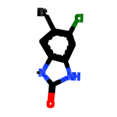 CCc1cc2c(cc1Cl)NC(=O)[N]2